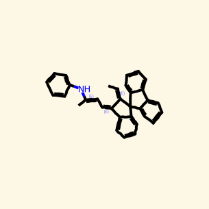 C\C=C1/C(=C\C=C(/C)Nc2ccccc2)c2ccccc2C12c1ccccc1-c1ccccc12